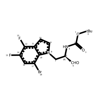 CC(C)(C)OC(=O)N[C@@H](C=O)Cn1ccc2c(F)c(F)cc(Br)c21